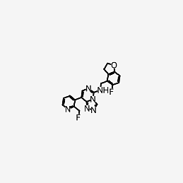 FCc1ncccc1-c1cnc(NCc2c(F)ccc3c2CCO3)n2cnnc12